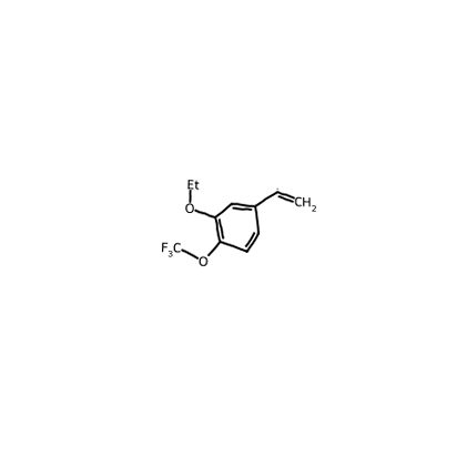 C=[C]c1ccc(OC(F)(F)F)c(OCC)c1